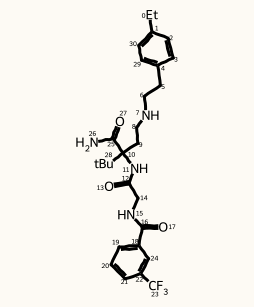 CCc1ccc(CCNCCC(NC(=O)CNC(=O)c2cccc(C(F)(F)F)c2)(C(N)=O)C(C)(C)C)cc1